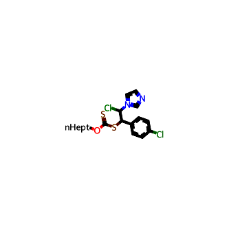 CCCCCCCOC(=S)SC(c1ccc(Cl)cc1)C(Cl)n1ccnc1